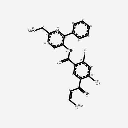 CN/C=C\C(=N)c1cc(C(=O)Nc2cnc(CSC)nc2-c2ccccc2)c(F)cc1C(F)(F)F